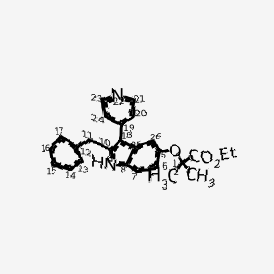 CCOC(=O)C(C)(C)Oc1ccc2[nH]c(Cc3ccccc3)c(-c3ccncc3)c2c1